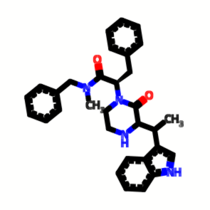 CC(c1c[nH]c2ccccc12)C1NCCN([C@H](Cc2ccccc2)C(=O)N(C)Cc2ccccc2)C1=O